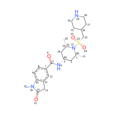 C[C@@H]1C[C@H](NC(=O)c2ccc3c(c2)CC(=O)N3C)C[C@H](C)N1S(=O)(=O)CC1CCNCC1